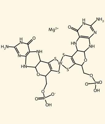 Nc1nc2c(c(=O)[nH]1)NC1C3=C([S][W]4([S]C5=C([S]4)C4Nc6c(nc(N)[nH]c6=O)NC4OC5COP(=O)([O-])O)[S]3)C(COP(=O)([O-])O)OC1N2.[Mg+2]